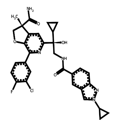 C[C@]1(C(N)=O)COc2c1cc([C@@](O)(CNC(=O)c1ccc3nn(C4CC4)cc3c1)C1CC1)nc2-c1ccc(F)c(Cl)c1